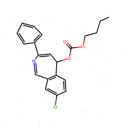 CCCCOC(=O)OC1C=C(c2ccccc2)N=Cc2cc(Cl)ccc21